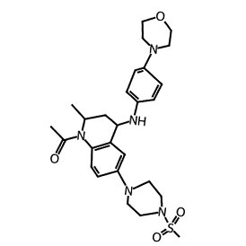 CC(=O)N1c2ccc(N3CCN(S(C)(=O)=O)CC3)cc2C(Nc2ccc(N3CCOCC3)cc2)CC1C